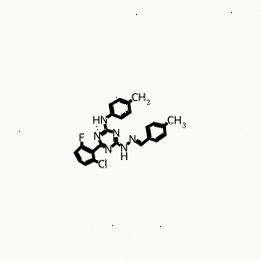 Cc1ccc(C=NNc2nc(Nc3ccc(C)cc3)nc(-c3c(F)cccc3Cl)n2)cc1